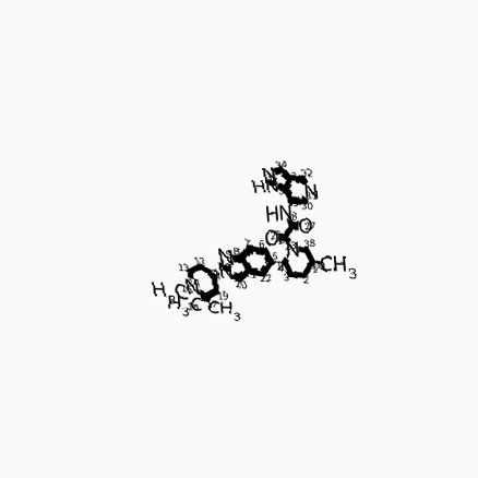 C[C@H]1CC[C@H](c2ccc3nn([C@H]4CCN(C)C(C)(C)C4)cc3c2)N(C(=O)C(=O)Nc2cncc3cn[nH]c23)C1